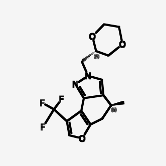 C[C@H]1Cc2occ(C(F)(F)F)c2-c2nn(C[C@H]3COCCO3)cc21